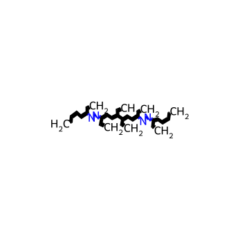 C=C\C=C/C=C(C=C)/N=N/C(C=C)=C/C=C(C=C)/C(C=C)=C/C=C(C=C)/N=N/C(C=C)=C/C=C\C=C